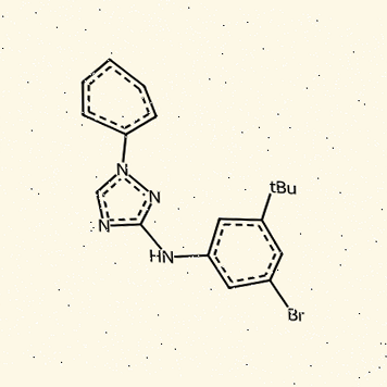 CC(C)(C)c1cc(Br)cc(Nc2ncn(-c3ccccc3)n2)c1